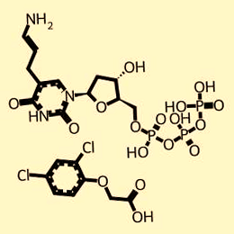 NC=CCc1cn([C@H]2C[C@H](O)[C@@H](COP(=O)(O)OP(=O)(O)OP(=O)(O)O)O2)c(=O)[nH]c1=O.O=C(O)COc1ccc(Cl)cc1Cl